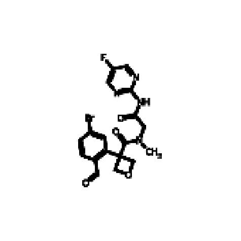 CN(CC(=O)Nc1ncc(F)cn1)C(=O)C1(c2cc(Br)ccc2C=O)COC1